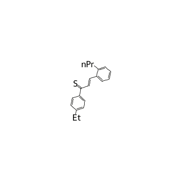 CCCc1ccccc1C=CC(=S)c1ccc(CC)cc1